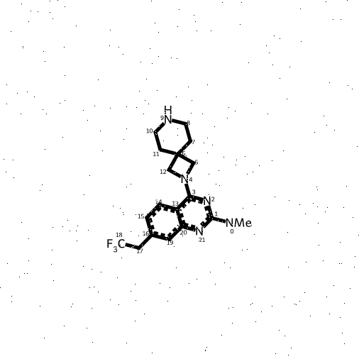 CNc1nc(N2CC3(CCNCC3)C2)c2ccc(CC(F)(F)F)cc2n1